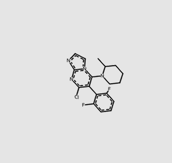 CC1CCCCN1c1c(-c2c(F)cccc2F)c(Cl)nc2nccn12